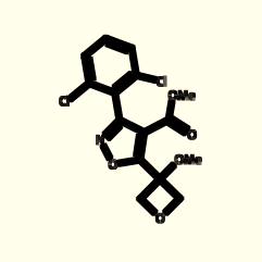 COC(=O)c1c(-c2c(Cl)cccc2Cl)noc1C1(OC)COC1